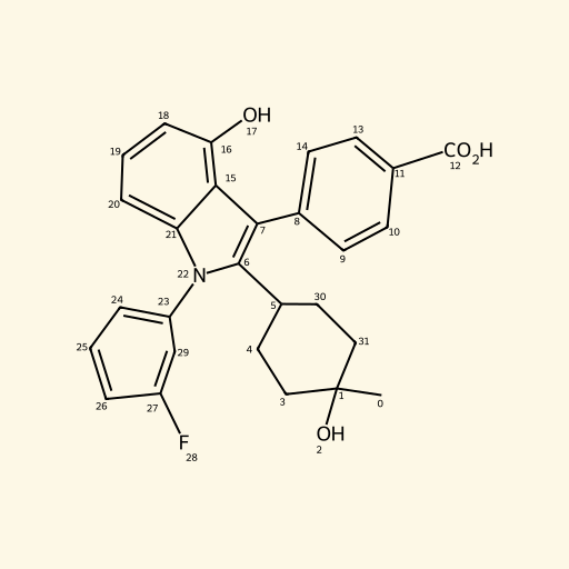 CC1(O)CCC(c2c(-c3ccc(C(=O)O)cc3)c3c(O)cccc3n2-c2cccc(F)c2)CC1